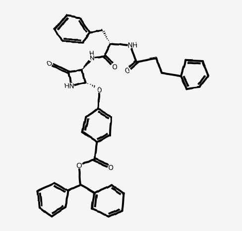 O=C(CCc1ccccc1)N[C@@H](Cc1ccccc1)C(=O)N[C@@H]1C(=O)N[C@H]1Oc1ccc(C(=O)OC(c2ccccc2)c2ccccc2)cc1